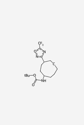 CC(C)(C)OC(=O)NC1CCCCCC(c2noc(C(F)(F)F)n2)CC1